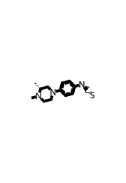 C[C@@H]1CN(c2ccc(N=C=S)cc2)CCN1C